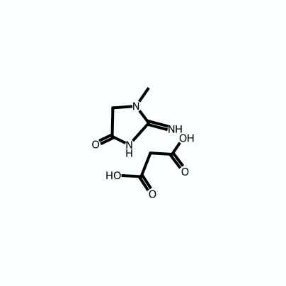 CN1CC(=O)NC1=N.O=C(O)CC(=O)O